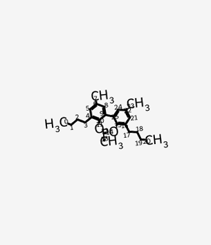 CCCCc1cc(C)cc2c1op(C)oc1c(CCCC)cc(C)cc12